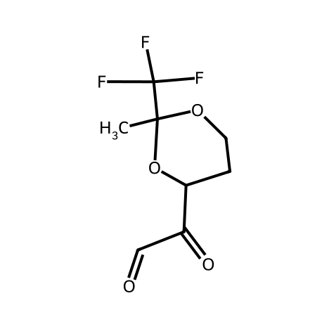 CC1(C(F)(F)F)OCCC(C(=O)C=O)O1